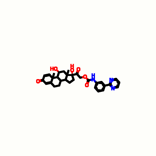 CC12C=CC(=O)C=C1CCC1C2[C@@H](O)CC2(C)C1CC[C@]2(O)C(=O)COC(=O)Nc1cccc(-c2ncccn2)c1